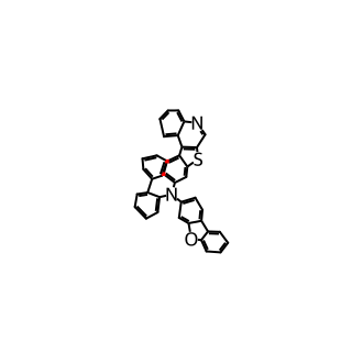 c1ccc(-c2ccccc2N(c2ccc3c(c2)oc2ccccc23)c2ccc3c(c2)sc2cnc4ccccc4c23)cc1